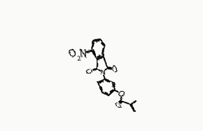 C=C(C)C(=O)Oc1cccc(N2C(=O)c3cccc([N+](=O)[O-])c3C2=O)c1